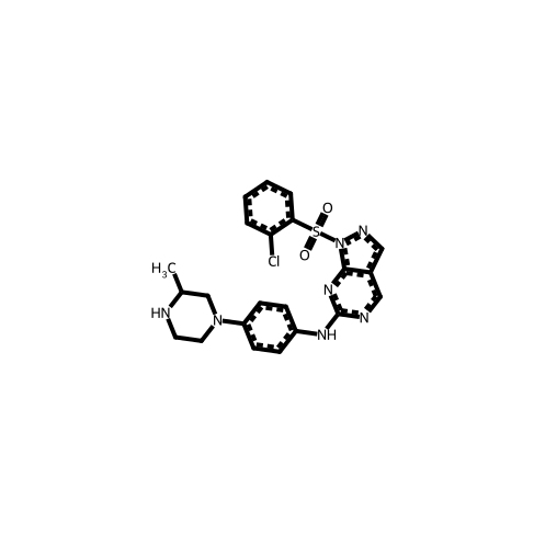 CC1CN(c2ccc(Nc3ncc4cnn(S(=O)(=O)c5ccccc5Cl)c4n3)cc2)CCN1